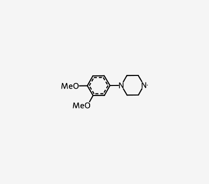 COc1ccc(N2CC[N]CC2)cc1OC